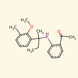 CCC(C)(Pc1ccccc1C(C)=O)c1cccc(C)c1OC